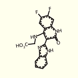 O=C(O)CNc1c(-c2nc3ccccc3[nH]2)c(=O)[nH]c2cc(F)c(F)cc12